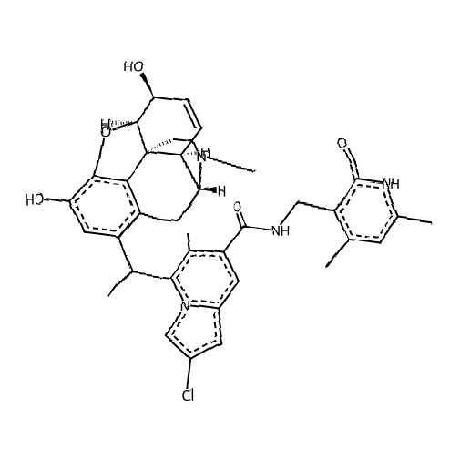 Cc1cc(C)c(CNC(=O)c2cc3cc(Cl)cn3c(C(C)c3cc(O)c4c5c3C[C@@H]3[C@@H]6C=C[C@H](O)[C@H](O4)[C@]56CCN3C)c2C)c(=O)[nH]1